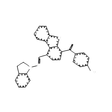 COc1ccc(C(=O)c2ccc(/C=N/N3CCc4ccccc43)c3c2[nH]c2ccccc23)cc1